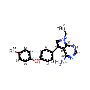 CC(C)(C)Cn1cc(-c2ccc(Oc3ccc(Br)cc3)cc2)c2c(N)ncnc21